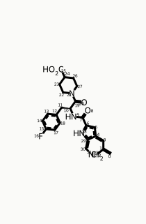 C=C(Cl)/C=c1/cc(C(=O)N[C@@H](Cc2ccc(F)cc2)C(=O)N2CCC(C(=O)O)CC2)[nH]/c1=C/N